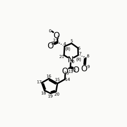 COC(=O)[C@@H]1CC[C@H](C=O)N(C(=O)OCc2ccccc2)C1